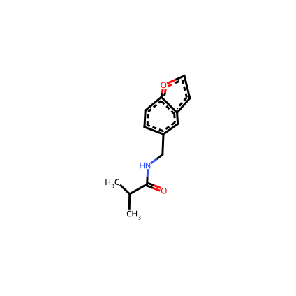 CC(C)C(=O)NCc1ccc2occc2c1